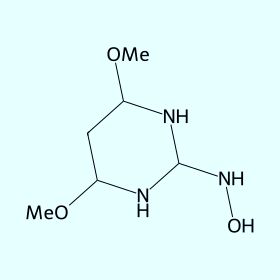 COC1CC(OC)NC(NO)N1